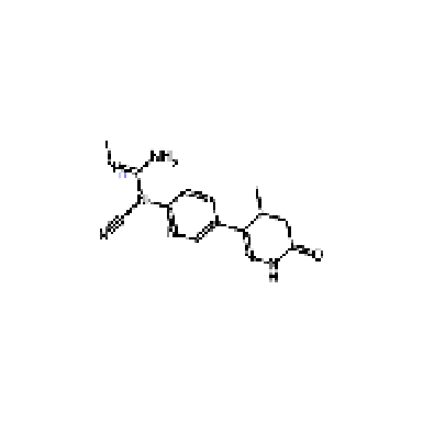 C/N=C(\N)N(C#N)c1ccc(C2=NNC(=O)CC2C)cn1